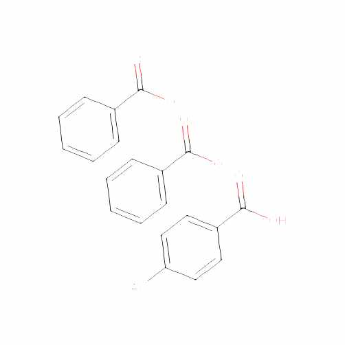 O=C(O)c1cc[c]([Al+2])cc1.O=C([O-])c1ccccc1.O=C([O-])c1ccccc1